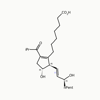 CCCCC[C@H](O)/C=C/[C@@H]1C(CCCCCCC(=O)O)=C(C(=O)C(C)C)C[C@H]1O